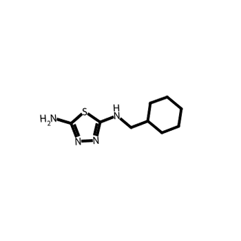 Nc1nnc(NCC2CCCCC2)s1